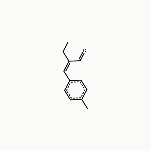 CCC(C=O)=Cc1ccc(C)cc1